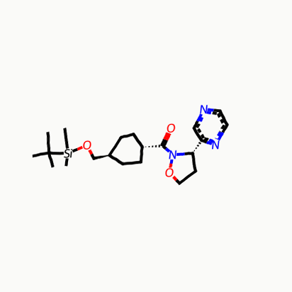 CC(C)(C)[Si](C)(C)OC[C@H]1CC[C@H](C(=O)N2OCC[C@H]2c2cnccn2)CC1